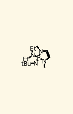 CCN(CC)P1(=NC(C)(C)C)N(C)C=CN1C